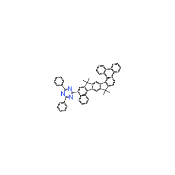 CC1(C)c2cc3c(cc2-c2c1cc(-c1nc(-c4ccccc4)nc(-c4ccccc4)n1)c1ccccc21)C(C)(C)c1ccc2c4ccccc4c4ccccc4c2c1-3